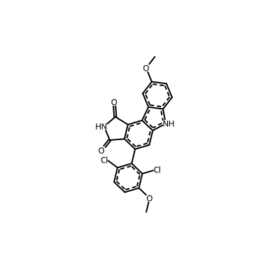 COc1ccc2[nH]c3cc(-c4c(Cl)ccc(OC)c4Cl)c4c(c3c2c1)C(=O)NC4=O